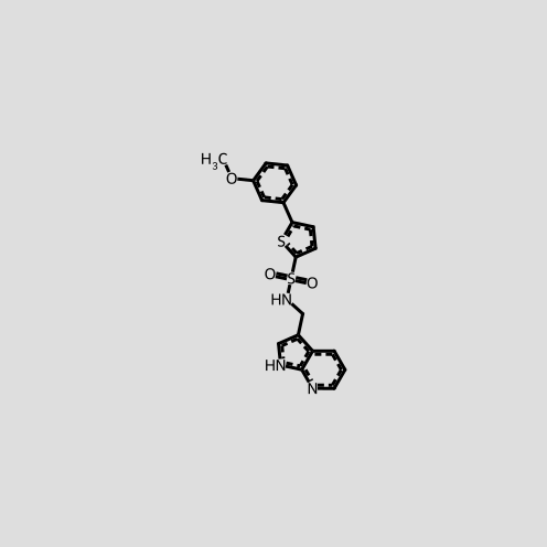 COc1cccc(-c2ccc(S(=O)(=O)NCc3c[nH]c4ncccc34)s2)c1